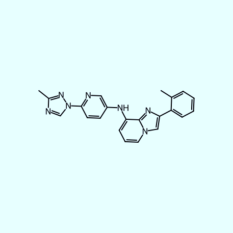 Cc1ncn(-c2ccc(Nc3cccn4cc(-c5ccccc5C)nc34)cn2)n1